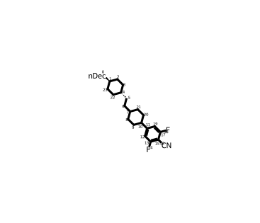 CCCCCCCCCC[C@H]1CC[C@H](CCC2CCC(c3cc(F)c(C#N)c(F)c3)CC2)CC1